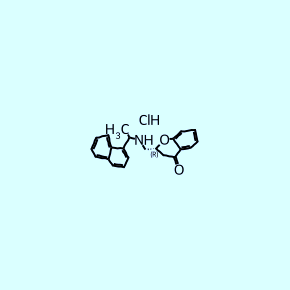 CC(NC[C@H]1CC(=O)c2ccccc2O1)c1cccc2ccccc12.Cl